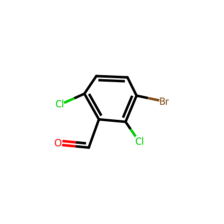 O=Cc1c(Cl)ccc(Br)c1Cl